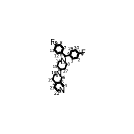 Fc1ccc(C(c2ccc(F)cc2)N2CCC(N3CCc4ccncc4C3)CC2)cc1